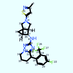 Cc1cc(N2C[C@H]3[C@H](Nc4nc5n(n4)CCCC5c4ccc(F)cc4C(F)(F)F)[C@@H]4CC34C2)sn1